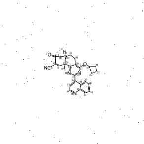 C[C@H]1C(=O)C(C#N)=C[C@@]2(C)c3nc(-c4ccnc5ccccc45)nc(OC4CCC4)c3CC[C@H]12